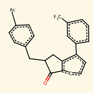 CC(=O)c1ccc(CC2Cc3c(cccc3-c3cccc(C(F)(F)F)c3)C2=O)cc1